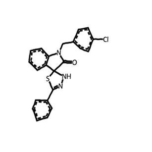 O=C1N(Cc2ccc(Cl)cc2)c2ccccc2C12NN=C(c1ccccc1)S2